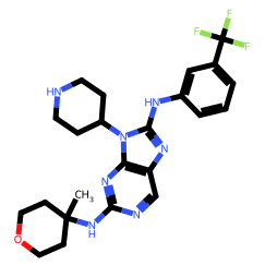 CC1(Nc2ncc3nc(Nc4cccc(C(F)(F)F)c4)n(C4CCNCC4)c3n2)CCOCC1